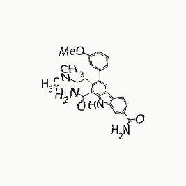 COc1cccc(-c2cc3c([nH]c4cc(C(N)=O)ccc43)c(C(N)=O)c2CCN(C)C)c1